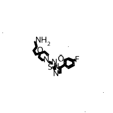 COc1cc(F)ccc1-c1cnc2sc(N3CCC4(CCC(CN)O4)CC3)nn12